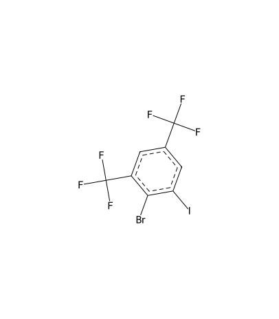 FC(F)(F)c1cc(I)c(Br)c(C(F)(F)F)c1